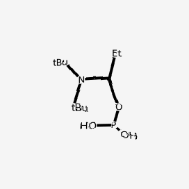 CCC(OP(O)O)N(C(C)(C)C)C(C)(C)C